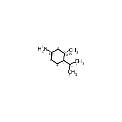 CC(C)C1CC[C@@H](N)C[C@@H]1C